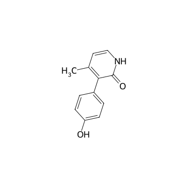 Cc1cc[nH]c(=O)c1-c1ccc(O)cc1